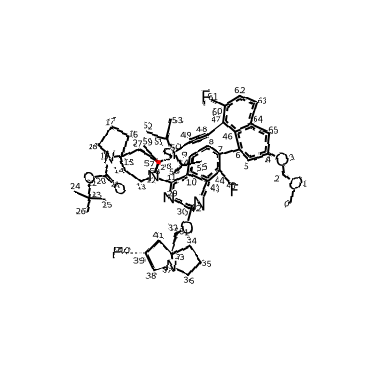 COCOc1cc(-c2ccc3c(N4CCC5(CCCN5C(=O)OC(C)(C)C)CC4)nc(OC[C@@]45CCCN4C[C@H](F)C5)nc3c2F)c2c(C#C[Si](C(C)C)(C(C)C)C(C)C)c(F)ccc2c1